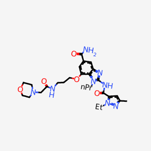 CCCn1c(NC(=O)c2cc(C)nn2CC)nc2cc(C(N)=O)cc(OCCCNC(=O)CN3CCOCC3)c21